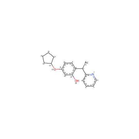 CC(=O)C(c1ccccn1)c1ccc(OC2CCCC2)cc1O